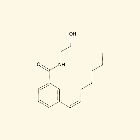 CCCCC/C=C\c1cccc(C(=O)NCCO)c1